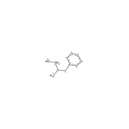 CC(Cc1ccccc1)[SiH2]O